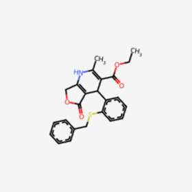 CCOC(=O)C1=C(C)NC2=C(C(=O)OC2)C1c1ccccc1SCc1ccccc1